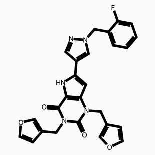 O=c1c2[nH]c(-c3cnn(Cc4ccccc4F)c3)cc2n(Cc2ccoc2)c(=O)n1Cc1ccoc1